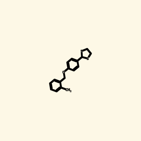 Cc1ccccc1COc1ccc(C2SCCS2)cc1